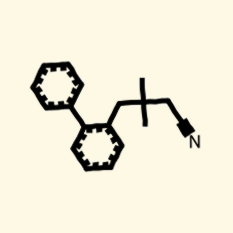 CC(C)(CC#N)Cc1ccccc1-c1ccccc1